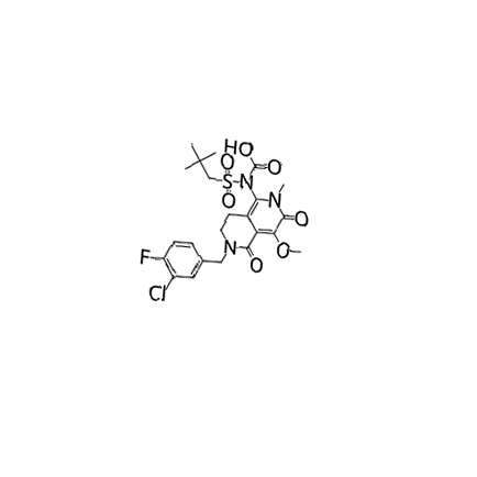 COc1c2c(c(N(C(=O)O)S(=O)(=O)CC(C)(C)C)n(C)c1=O)CCN(Cc1ccc(F)c(Cl)c1)C2=O